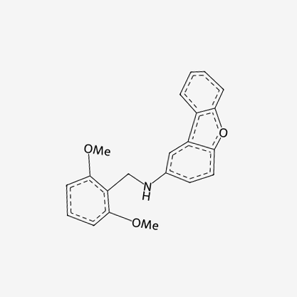 COc1cccc(OC)c1CNc1ccc2oc3ccccc3c2c1